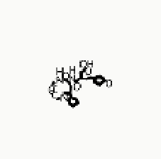 COc1ccc(CC[C@H](CC(=O)O)C(=O)NC2Cc3cn(c4ccccc34)CCOCCNC2=O)cc1